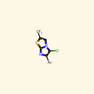 CC(=O)c1nc2sc(C(F)(F)F)cn2c1Cl